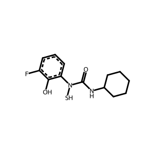 O=C(NC1CCCCC1)N(S)c1cccc(F)c1O